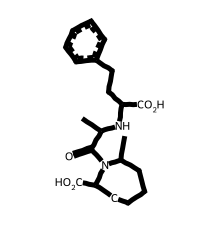 CC(NC(CCc1ccccc1)C(=O)O)C(=O)N1C(C)CCCCC1C(=O)O